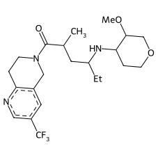 CCC(CC(C)C(=O)N1CCc2ncc(C(F)(F)F)cc2C1)NC1CCOCC1OC